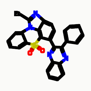 CCc1nc2ccc(-c3nc4ccccc4nc3-c3ccccc3)c3c2n1-c1ccccc1S3(=O)=O